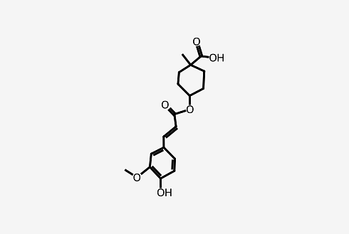 COc1cc(/C=C/C(=O)OC2CCC(C)(C(=O)O)CC2)ccc1O